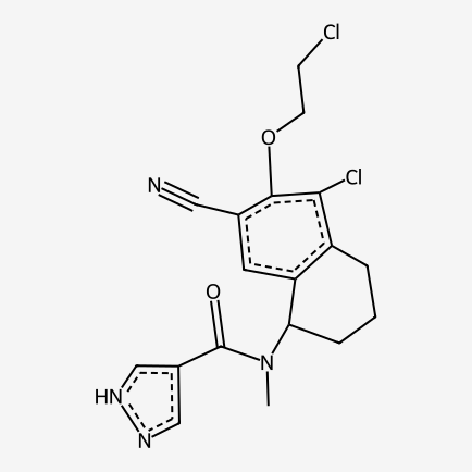 CN(C(=O)c1cn[nH]c1)C1CCCc2c1cc(C#N)c(OCCCl)c2Cl